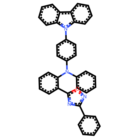 c1ccc(-c2noc(-c3ccccc3N(c3ccccc3)c3ccc(-n4c5ccccc5c5ccccc54)cc3)n2)cc1